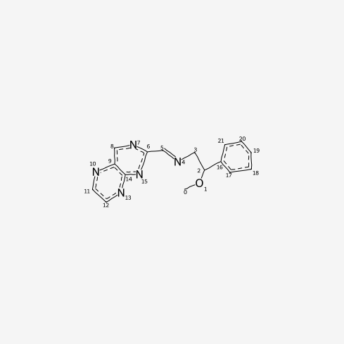 COC(CN=Cc1ncc2nccnc2n1)c1ccccc1